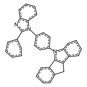 c1ccc(-c2nc3ccccc3n2-c2ccc(-n3c4c(c5ccccc53)Cc3ccccc3-4)cc2)cc1